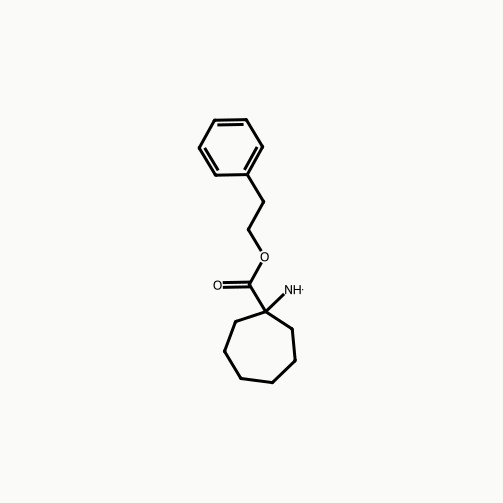 [NH]C1(C(=O)OCCc2ccccc2)CCCCCC1